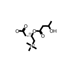 CC(O)CC(=O)O[C@@H](CC(=O)[O-])C[N+](C)(C)C